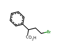 O=C(O)C(CCBr)c1ccccc1